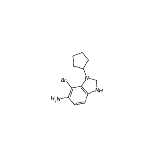 Nc1ccc2c(c1Br)N(C1CCCC1)CN2